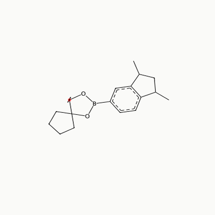 CC1CC(C)c2cc(B3OC4(CCCC4)C4(CCCC4)O3)ccc21